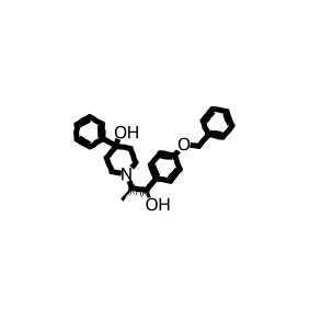 C[C@H]([C@H](O)c1ccc(OCc2ccccc2)cc1)N1CCC(O)(c2ccccc2)CC1